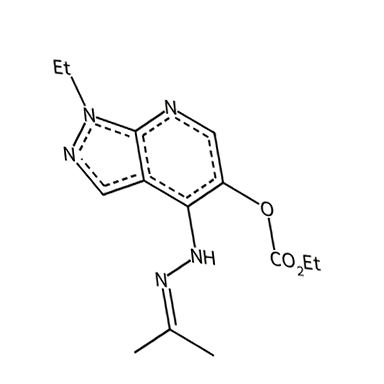 CCOC(=O)Oc1cnc2c(cnn2CC)c1NN=C(C)C